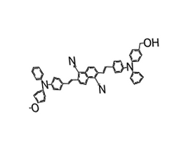 COc1ccc(N(c2ccccc2)c2ccc(/C=C/c3ccc4c(C#N)c(/C=C/c5ccc(N(c6ccccc6)c6ccc(CO)cc6)cc5)ccc4c3C#N)cc2)cc1